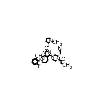 C=CC(=O)N1CCN(c2nc(OC[C@@H]3CCCN3C)nc3c2CCCN(c2c(C)cccc2F)C3)C[C@@H]1CC#N